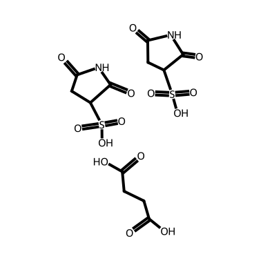 O=C(O)CCC(=O)O.O=C1CC(S(=O)(=O)O)C(=O)N1.O=C1CC(S(=O)(=O)O)C(=O)N1